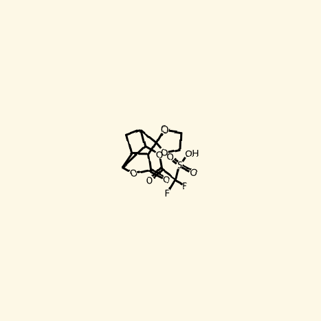 O=C1OC2C3CC(C2OC(=O)C(F)(F)S(=O)(=O)O)C2(OCCO2)C13